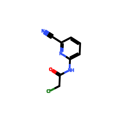 N#Cc1cccc(NC(=O)CCl)n1